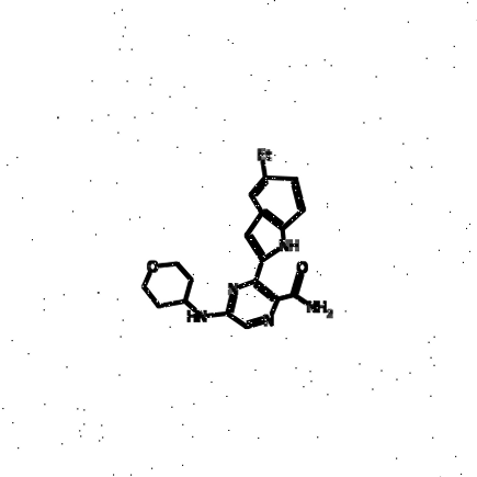 CCc1ccc2[nH]c(-c3nc(NC4CCOCC4)cnc3C(N)=O)cc2c1